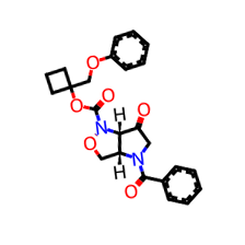 O=C1CN(C(=O)c2ccccc2)[C@@H]2CON(C(=O)OC3(COc4ccccc4)CCC3)[C@H]12